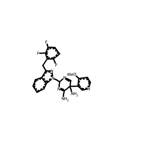 COc1ccncc1C1(N)C=NC(n2nc(Cc3c(F)ccc(F)c3F)c3ccccc32)N=C1N